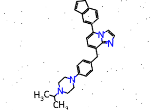 CC(C)N1CCN(c2ccc(Cc3ccc(-c4ccc5c(c4)C=CC5)n4ccnc34)cc2)CC1